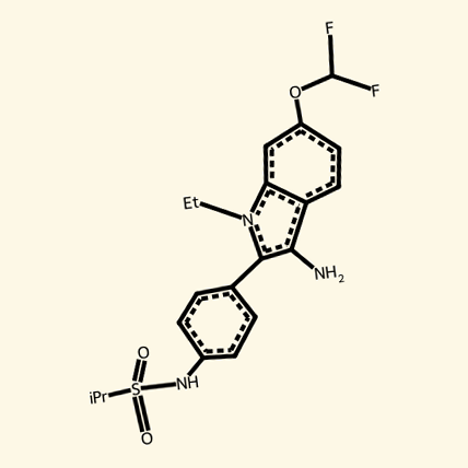 CCn1c(-c2ccc(NS(=O)(=O)C(C)C)cc2)c(N)c2ccc(OC(F)F)cc21